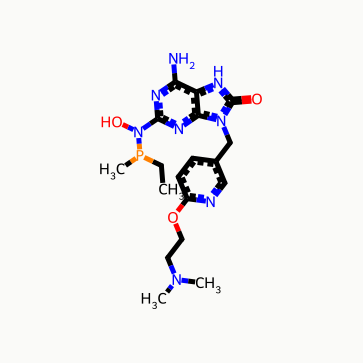 CCP(C)N(O)c1nc(N)c2[nH]c(=O)n(Cc3ccc(OCCN(C)C)nc3)c2n1